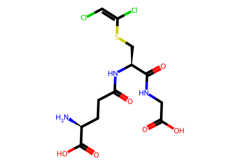 N[C@@H](CCC(=O)N[C@@H](CS/C(Cl)=C\Cl)C(=O)NCC(=O)O)C(=O)O